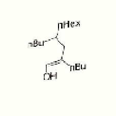 CCCCCCC(CCCC)CC(=CO)CCCC